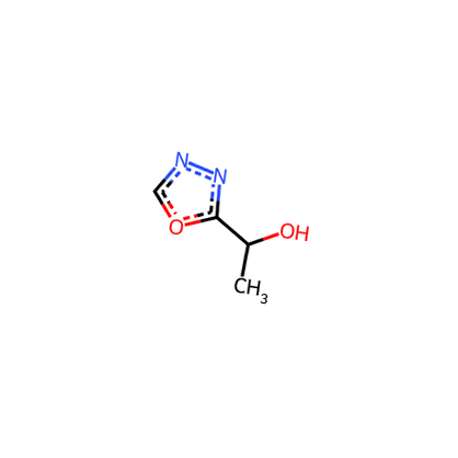 CC(O)c1nnco1